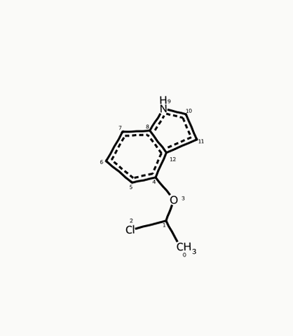 CC(Cl)Oc1cccc2[nH]ccc12